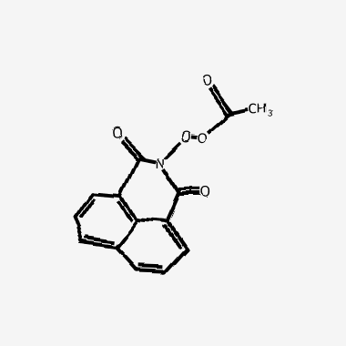 CC(=O)OON1C(=O)c2cccc3cccc(c23)C1=O